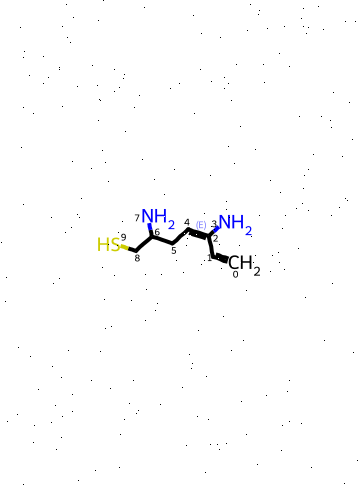 C=C/C(N)=C\CC(N)CS